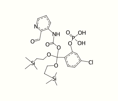 C[Si](C)(C)CCOC(OCC[Si](C)(C)C)(OC(=O)Nc1cccnc1C=O)c1ccc(Cl)cc1OP(=O)(O)O